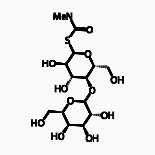 CNC(=O)SC1O[C@H](CO)[C@@H](OC2O[C@H](CO)[C@H](O)[C@H](O)[C@H]2O)[C@H](O)[C@H]1O